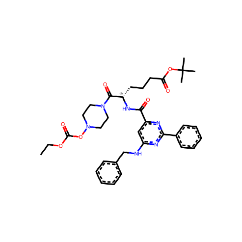 CCOC(=O)ON1CCN(C(=O)[C@H](CCCC(=O)OC(C)(C)C)NC(=O)c2cc(NCc3ccccc3)nc(-c3ccccc3)n2)CC1